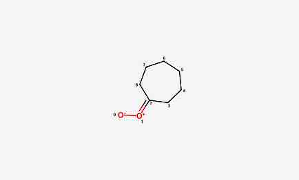 [O-][O+]=C1CCCCCC1